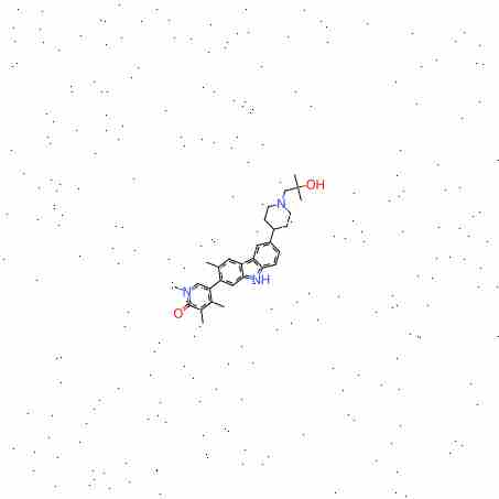 Cc1cc2c(cc1-c1cn(C)c(=O)c(C)c1C)[nH]c1ccc(C3CCN(CC(C)(C)O)CC3)cc12